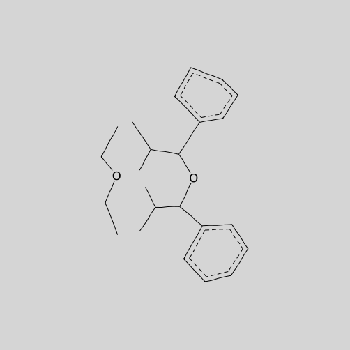 CC(C)C(OC(c1ccccc1)C(C)C)c1ccccc1.CCOCC